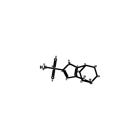 NS(=O)(=O)c1cc2c(s1)C1CCN(CC1)C2